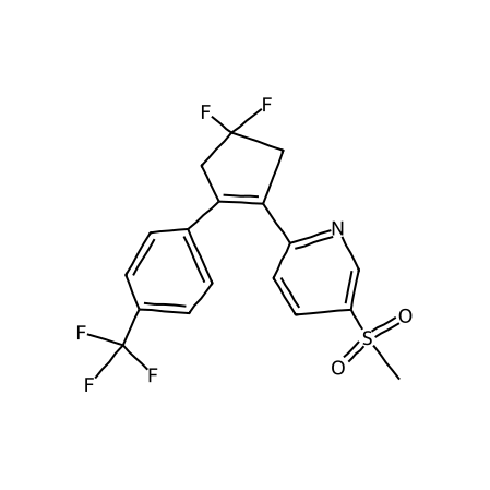 CS(=O)(=O)c1ccc(C2=C(c3ccc(C(F)(F)F)cc3)CC(F)(F)C2)nc1